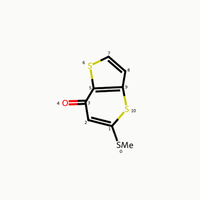 CSc1cc(=O)c2sccc2s1